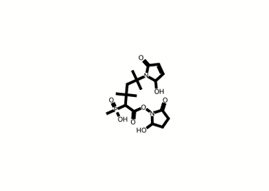 CC(C)(CC(C)(C)N1C(=O)C=CC1O)C(C(=O)ON1C(=O)CCC1O)P(C)(=O)O